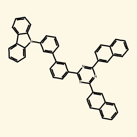 c1cc(-c2cccc(-n3c4ccccc4c4ccccc43)c2)cc(-c2nc(-c3ccc4ccccc4c3)nc(-c3ccc4ccccc4c3)n2)c1